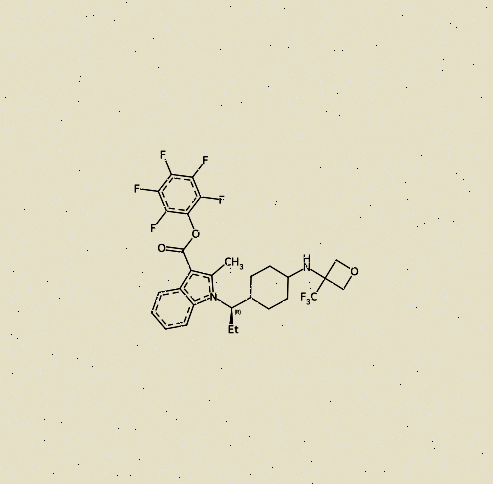 CC[C@H](C1CCC(NC2(C(F)(F)F)COC2)CC1)n1c(C)c(C(=O)Oc2c(F)c(F)c(F)c(F)c2F)c2ccccc21